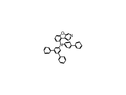 c1ccc(-c2ccc(N(c3cc(-c4ccccc4)cc(-c4ccccc4)c3)c3cccc4oc5cnccc5c34)cc2)cc1